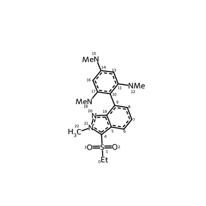 CCS(=O)(=O)c1c2cccc(-c3c(NC)cc(NC)cc3NC)c2nn1C